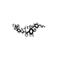 CCS(=O)(=O)c1ccc(CNC(=O)c2ccc3c(c2)Nc2ccc(CC(C)C)cc2S3)cc1